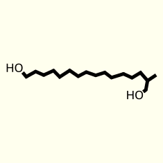 CC(CO)CCCCCCCCCCCCCCO